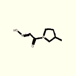 CC1CCN(C(=O)/C=N/O)C1